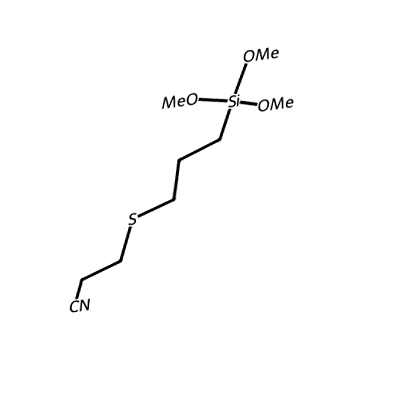 CO[Si](CCCSCCC#N)(OC)OC